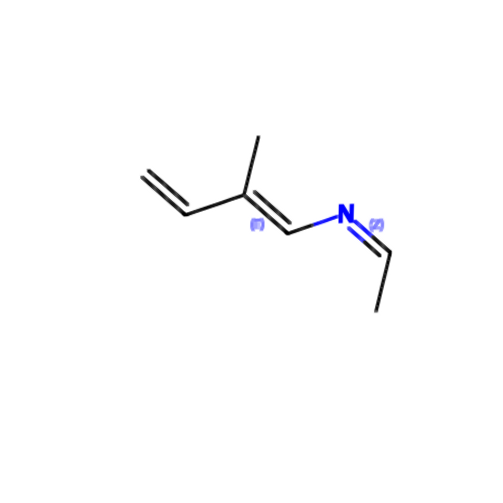 C=C/C(C)=C/N=C\C